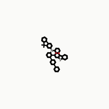 CC1(C)c2ccccc2-c2ccc(N(c3ccccc3)c3cccc(-c4ccc(-c5ccccc5)cc4)c3-c3ccc4c(c3)sc3ccccc34)cc21